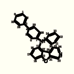 c1ccc(-c2ccc(N(c3ccccc3)c3cccc4oc5cnccc5c34)cc2)cc1